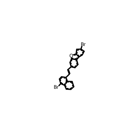 Brc1ccc2c(c1)oc1cc(/C=C/c3ccc(Br)c4ccccc34)ccc12